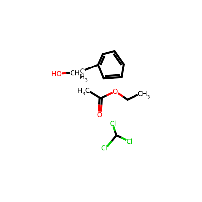 CCOC(C)=O.CO.Cc1ccccc1.ClC(Cl)Cl